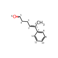 CC(=CCCC=O)c1ccccc1